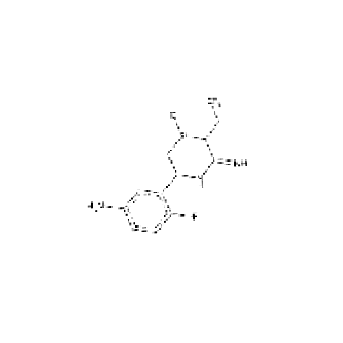 N=C1NC(c2cc(N)ccc2F)C[S+]([O-])C1CC(F)(F)F